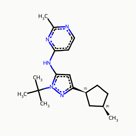 Cc1nccc(Nc2cc([C@H]3CC[C@@H](C)C3)nn2C(C)(C)C)n1